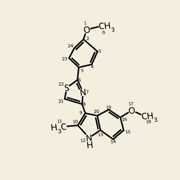 COc1ccc(-c2nc(-c3c(C)[nH]c4ccc(OC)cc34)cs2)cc1